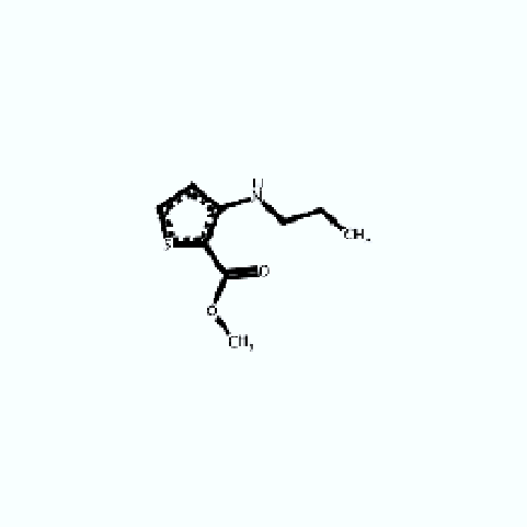 CCCNc1ccsc1C(=O)OC